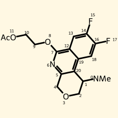 CNC1COCc2nc(OCCOC(C)=O)c3cc(F)c(F)cc3c21